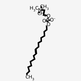 CCCCCCCCC=CCCCCCCCCOP(=O)([O-])OCC[N+](C)(C)C